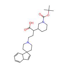 CC(C)(C)OC(=O)N1CCCC(C(CCN2CCC3(C=CC4C=CC=CC43)CC2)C(=O)O)C1